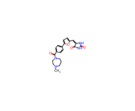 CN1CCCN(C(=O)c2ccc(-c3ccc(C=C4NC(=O)NC4=O)o3)cc2)CC1